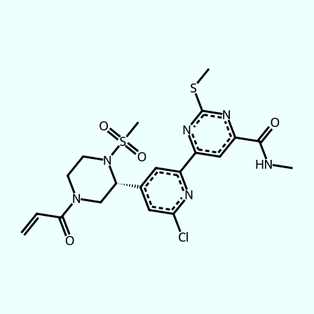 C=CC(=O)N1CCN(S(C)(=O)=O)[C@H](c2cc(Cl)nc(-c3cc(C(=O)NC)nc(SC)n3)c2)C1